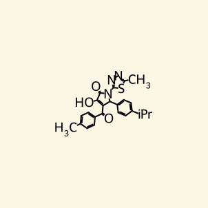 Cc1ccc(C(=O)C2=C(O)C(=O)N(c3nnc(C)s3)C2c2ccc(C(C)C)cc2)cc1